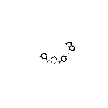 COc1cccc(C(=O)N2CCCN(C(=O)c3ccc(NSc4cccc5cccnc45)cc3)CC2)c1F